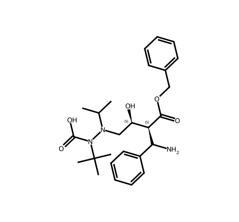 CC(C)N(C[C@@H](O)[C@@H](C(=O)OCc1ccccc1)C(N)c1ccccc1)N(C(=O)O)C(C)(C)C